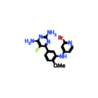 COc1ccc(-c2nc(N)nc(N)c2F)cc1Nc1ccnc(Br)c1